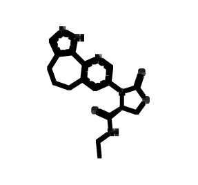 CCNC(=O)[C@@H]1COC(=O)N1c1cnc2c(c1)CCCc1cn[nH]c1-2